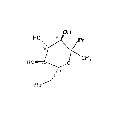 CC(C)C1(C)O[C@H](CC(C)(C)C)[C@@H](O)[C@H](O)[C@H]1O